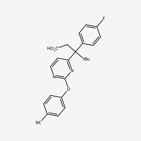 CC(C)(C)C(CC(=O)O)(c1ccc(F)cc1)c1ccnc(Oc2ccc(C#N)cc2)n1